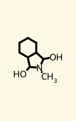 CN1C(O)C2CCCCC2C1O